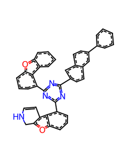 C1=Cc2c(oc3cccc(-c4nc(-c5ccc6cc(-c7ccccc7)ccc6c5)nc(-c5cccc6oc7ccccc7c56)n4)c23)CN1